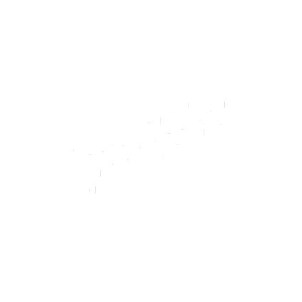 FC(F)(F)C(F)(F)C(F)(F)C(F)(F)C(F)(F)C(F)(F)C(F)(F)C(F)(c1ccccc1Cl)C(F)(F)c1ccccc1Cl